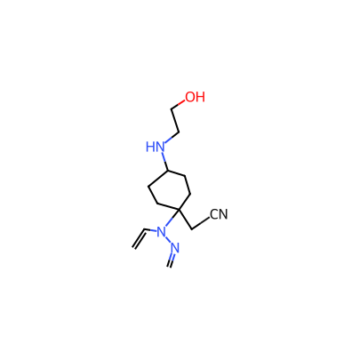 C=CN(N=C)C1(CC#N)CCC(NCCO)CC1